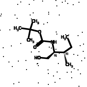 CC[C@H](C)[C@@H](CO)NC(=O)OC(C)(C)C